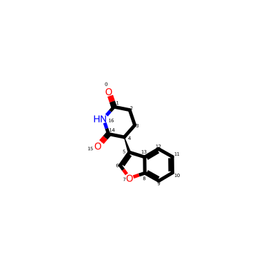 O=C1CC[C@@H](c2coc3ccccc23)C(=O)N1